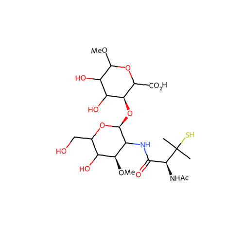 COC1OC(C(=O)O)[C@@H](O[C@@H]2OC(CO)C(O)[C@H](OC)C2NC(=O)[C@H](NC(C)=O)C(C)(C)S)C(O)C1O